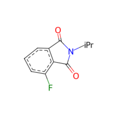 CC(C)N1C(=O)c2cccc(F)c2C1=O